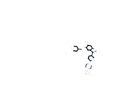 COc1cc2[nH]nc(-c3ccc(N4CCN(S(C)(=O)=O)CC4)nc3)c2cc1O[C@H](N)c1c(Cl)cnc(C)c1Cl